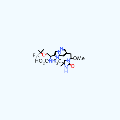 COC(Cc1cnn2cc(C(COC(C)(C)C(F)(F)F)NC(=O)O)nc2c1)N1C[C@@](C)(C(F)(F)F)NC1=O